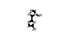 CC(C)n1cnnc1-c1nc(Br)cs1